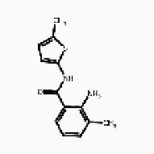 Cc1ccc(NC(=O)c2cccc(C)c2N)s1